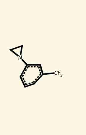 FC(F)(F)c1cccc(N2CC2)c1